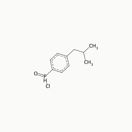 CC(C)Cc1ccc([PH](=O)Cl)cc1